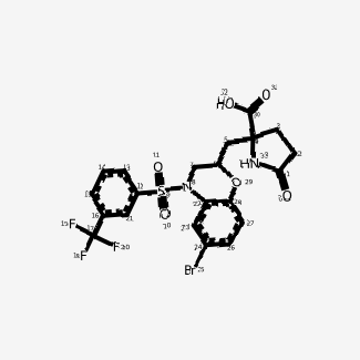 O=C1CCC(CC2CN(S(=O)(=O)c3cccc(C(F)(F)F)c3)c3cc(Br)ccc3O2)(C(=O)O)N1